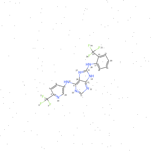 FC(F)(F)c1ccc(Nc2ncnc3[nH]c(Nc4ccccc4C(F)(F)F)nc23)cn1